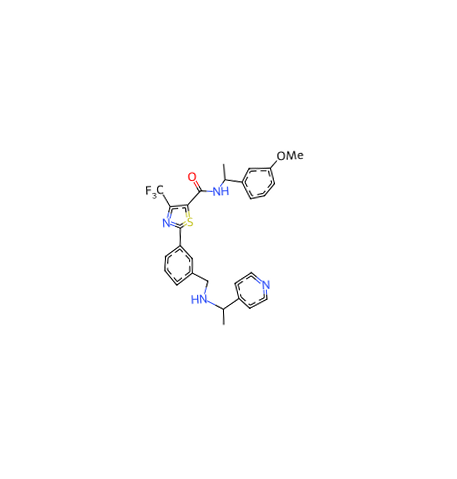 COc1cccc(C(C)NC(=O)c2sc(-c3cccc(CNC(C)c4ccncc4)c3)nc2C(F)(F)F)c1